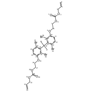 C=CCOC(=O)OCCOc1ccc(Br)c(C(C)(C)c2c(Br)ccc(OCCOC(=O)OCC=C)c2Br)c1Br